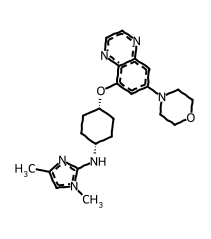 Cc1cn(C)c(N[C@H]2CC[C@@H](Oc3cc(N4CCOCC4)cc4nccnc34)CC2)n1